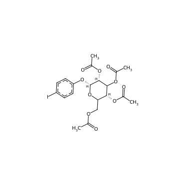 CC(=O)OCC1O[C@H](Oc2ccc(I)cc2)[C@H](OC(C)=O)C(OC(C)=O)[C@@H]1OC(C)=O